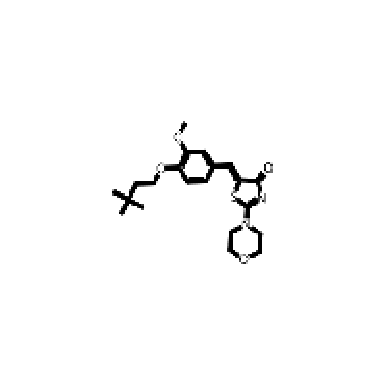 COc1cc(/C=C2\SC(N3CCOCC3)=NC2=O)ccc1OCCC(C)(C)C